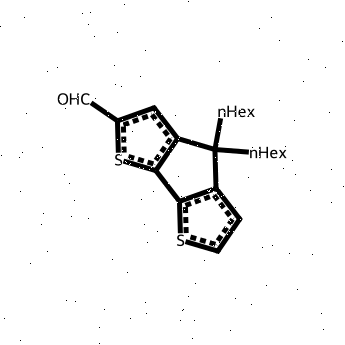 CCCCCCC1(CCCCCC)c2ccsc2-c2sc(C=O)cc21